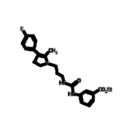 CCOC(=O)c1cccc(NC(=O)NCCCN2CCC(c3ccc(F)cc3)=C2C)c1